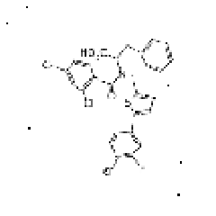 O=C(O)C(Cc1ccccc1)N(Cc1ccc(-c2ccc(Cl)c(F)c2)s1)C(=O)c1ccc(Cl)cc1Cl